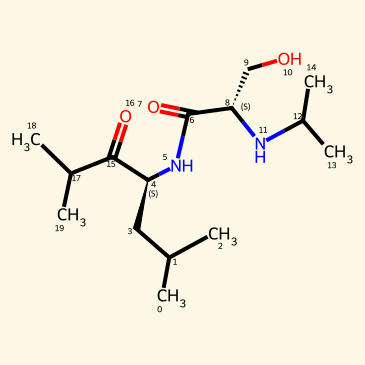 CC(C)C[C@H](NC(=O)[C@H](CO)NC(C)C)C(=O)C(C)C